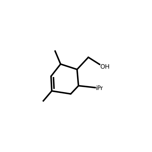 CC1=CC(C)C(CO)C(C(C)C)C1